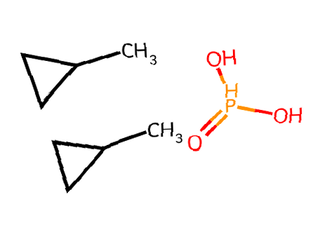 CC1CC1.CC1CC1.O=[PH](O)O